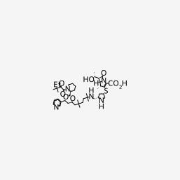 CCC(C)(C)C(=O)C(=O)N1CCCC[C@H]1C(=O)O[C@H](CCc1cccnc1)CC(C)(C)CCC(C)(C)NC[C@@H]1C[C@H](SC2=C(C(=O)O)N3C(=O)[C@H]([C@@H](C)O)[C@H]3[C@H]2C)CN1